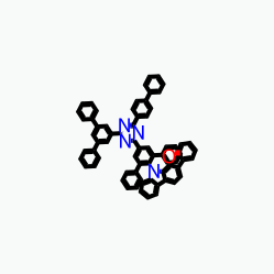 c1ccc(-c2ccc(-c3nc(-c4cc(-c5ccccc5)cc(-c5ccccc5)c4)nc(-c4cc(-c5ccccc5)c(-n5c6ccccc6c6ccc7c8ccccc8oc7c65)c(-c5ccccc5)c4)n3)cc2)cc1